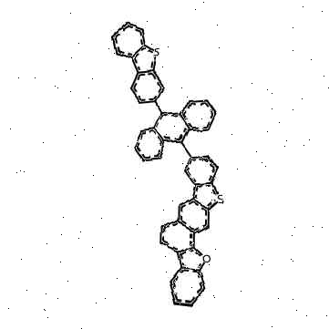 c1ccc2c(c1)oc1c3cc4sc5ccc(-c6c7ccccc7c(-c7ccc8c(c7)sc7ccccc78)c7ccccc67)cc5c4cc3ccc21